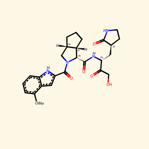 COc1cccc2[nH]c(C(=O)N3C[C@@H]4CCC[C@@H]4[C@@H]3C(=O)N[C@H](C[C@@H]3CCNC3=O)C(=O)CO)cc12